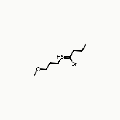 CCCC(Br)=[SH]CCCOC